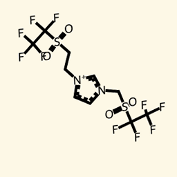 O=S(=O)(CC[n+]1ccn(CS(=O)(=O)C(F)(F)C(F)(F)F)c1)C(F)(F)C(F)(F)F